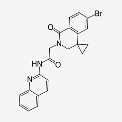 O=C(CN1CC2(CC2)c2cc(Br)ccc2C1=O)Nc1ccc2ccccc2n1